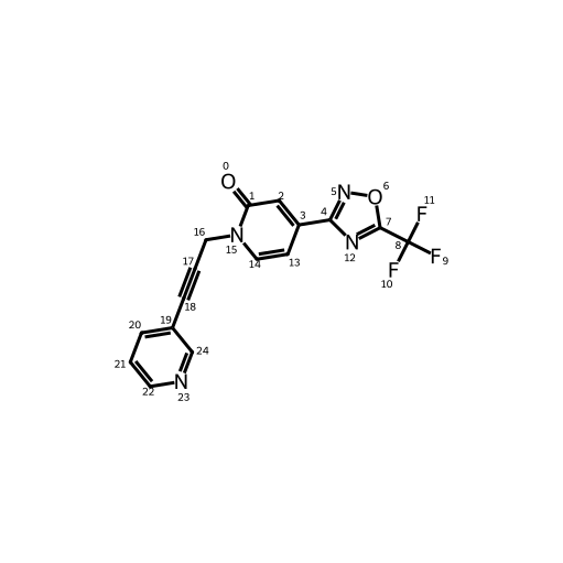 O=c1cc(-c2noc(C(F)(F)F)n2)ccn1CC#Cc1cccnc1